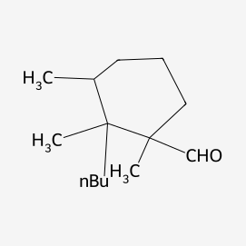 CCCCC1(C)C(C)CCCC1(C)C=O